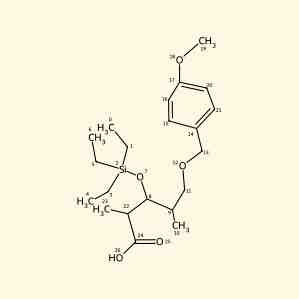 CC[Si](CC)(CC)OC(C(C)COCc1ccc(OC)cc1)C(C)C(=O)O